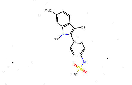 CCCCn1c(-c2ccc(NS(=O)(=O)CCC)cc2)c(C#N)c2ccc(OC)cc21